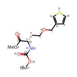 COC(=O)[C@H](CCOCc1ccsc1)NC(=O)OC(C)(C)C